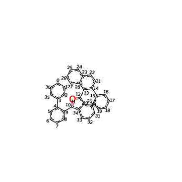 c1ccc(-c2ccccc2-c2oc(-c3c(-c4ccccc4)ccc4ccccc34)c3ccccc23)cc1